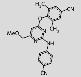 COCc1cc(Oc2c(C)cc(C#N)cc2C)nc(Nc2ccc(C#N)cc2)n1